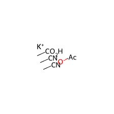 CC#N.CC#N.CC(=O)O.CC(=O)[O-].[K+]